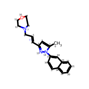 Cc1cc(/C=C/CN2CCOCC2)nn1-c1ccc2ccccc2c1